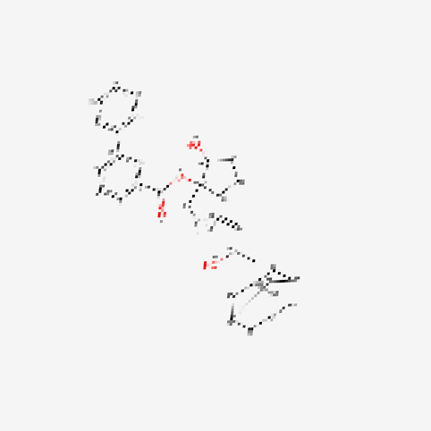 O=C(O)CC1(OC(=O)c2cccc(-c3ccccc3)c2)C(O)CCC1C=CC(O)CC12CC3CC(CC(C3)C1)C2